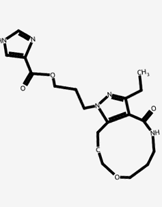 CCc1nn(CCCOC(=O)c2c[nH]cn2)c2c1C(=O)NCCCOCCC2